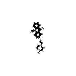 CN1CCN(CCOc2ccc3c(c2)c(=O)c2ccccc2n3C)CC1